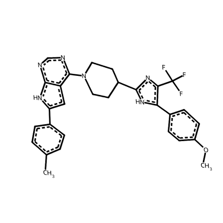 COc1ccc(-c2[nH]c(C3CCN(c4ncnc5[nH]c(-c6ccc(C)cc6)cc45)CC3)nc2C(F)(F)F)cc1